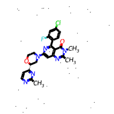 Cc1nccc([C@H]2CN(c3cc4nc(C)n(C)c(=O)c4c(-c4ccc(Cl)cc4F)n3)CCO2)n1